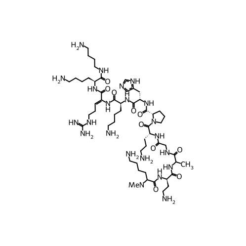 CNC(CCCCN)C(=O)N[C@H](CCN)C(=O)NC(C)C(=O)NCC(=O)N[C@H](CCCN)C(=O)N1CCC[C@H]1C(=O)N[C@@H](Cc1cnc[nH]1)C(=O)N[C@@H](CCCCN)C(=O)N/C(=C\CCNC(=N)N)C(=O)N[C@@H](CCCCN)C(=O)NCCCCN